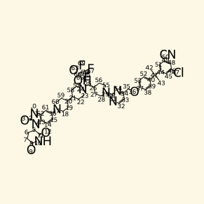 Cn1c(=O)n(C2CCC(=O)NC2=O)c2ccc(N3CCC(C4CCN(CC5CCN(c6nccc(COc7ccc(C(C)(C)c8cc(Cl)cc(C#N)c8)cc7)n6)CC5)CC4)CC3)cc21.O=C(O)C(F)(F)F